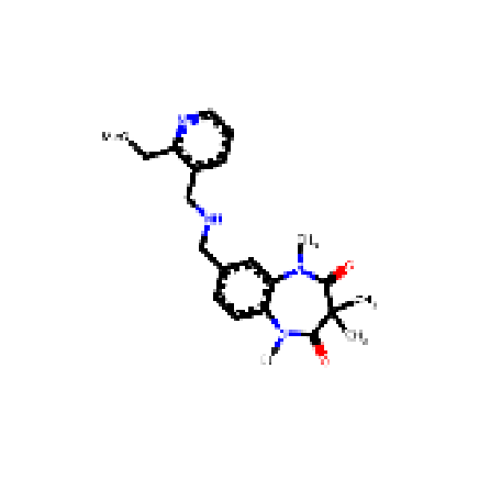 CCN1C(=O)C(C)(C)C(=O)N(C)c2cc(CNCc3cccnc3COC)ccc21